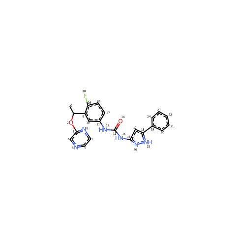 CC(Oc1cnccn1)c1cc(NC(=O)Nc2cc(-c3ccccc3)[nH]n2)ccc1F